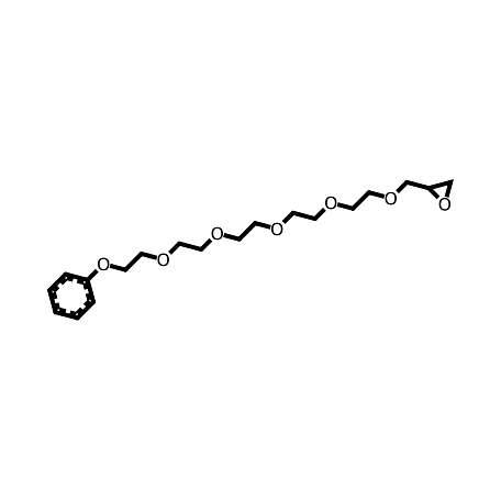 c1ccc(OCCOCCOCCOCCOCCOCC2CO2)cc1